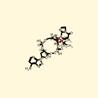 CC(C)(C)[Si](C)(C)O[C@H]1[C@H]2OP(=O)(S)OC[C@H]3O[C@@H](n4nnc5c(N)ccnc54)C[C@@H]3OP(=O)(S)OC[C@H]1O[C@H]2n1ccc(=O)n2ccnc12